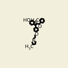 Cc1ccccc1C(=O)c1sc2cc(O)ccc2c1-c1ccc(OCCCN2CC[C@H](C)C2)cc1